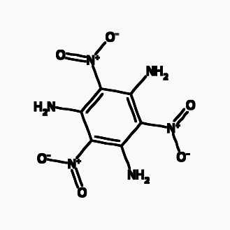 Nc1c([N+](=O)[O-])c(N)c([N+](=O)[O-])c(N)c1[N+](=O)[O-]